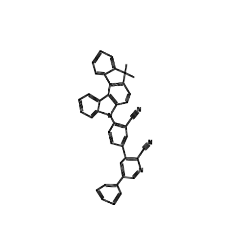 CC1(C)c2ccccc2-c2c1ccc1c2c2ccccc2n1-c1ccc(-c2cc(-c3ccccc3)cnc2C#N)cc1C#N